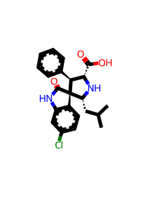 CC(C)C[C@H]1N[C@@H](C(=O)O)[C@H](c2ccccc2)[C@@]12C(=O)Nc1cc(Cl)ccc12